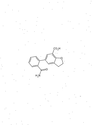 NC(=O)c1ccccc1-c1cc2c(c(C(=O)O)c1)OCC2